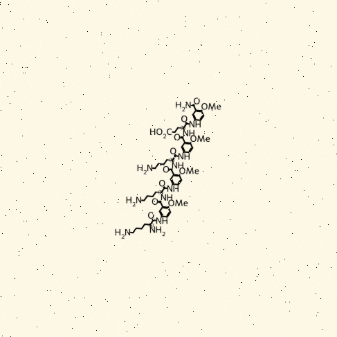 COc1ccc(NC(=O)[C@H](CCC(=O)O)NC(=O)c2cc(NC(=O)[C@H](CCCCN)NC(=O)c3cc(NC(=O)[C@H](CCCCN)NC(=O)c4cc(NC(=O)[C@@H](N)CCCCN)ccc4OC)ccc3OC)ccc2OC)cc1C(N)=O